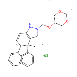 CC1(c2ccccc2)C2=C(C=CC1c1ccccc1)NN(COC1COCOC1)C2.Cl